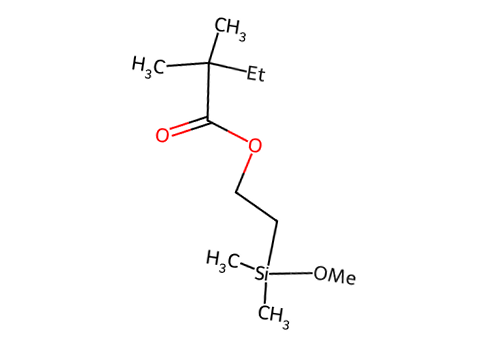 CCC(C)(C)C(=O)OCC[Si](C)(C)OC